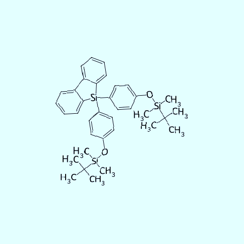 CC(C)(C)[Si](C)(C)Oc1ccc([Si]2(c3ccc(O[Si](C)(C)C(C)(C)C)cc3)c3ccccc3-c3ccccc32)cc1